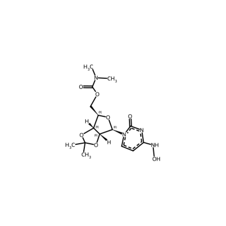 CN(C)C(=O)OC[C@H]1O[C@@H](n2ccc(NO)nc2=O)[C@@H]2OC(C)(C)O[C@@H]21